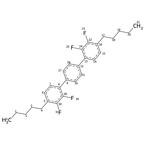 CCCCCc1ccc(-c2ccc(-c3ccc(CCCCC)c(F)c3F)cc2)c(F)c1F